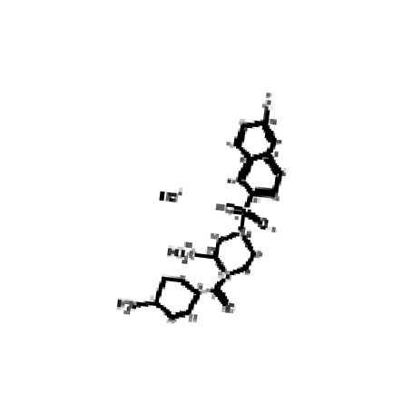 Cl.N[C@H]1CC[C@H](C(=O)N2CCN(S(=O)(=O)c3ccc4cc(Cl)ccc4c3)CC2C(=O)O)CC1